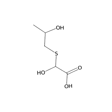 CC(O)CSC(O)C(=O)O